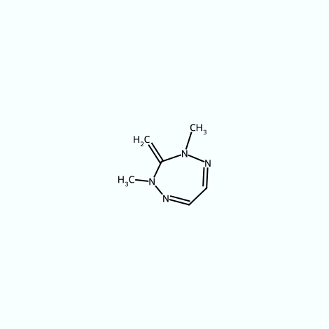 C=C1N(C)N=CC=NN1C